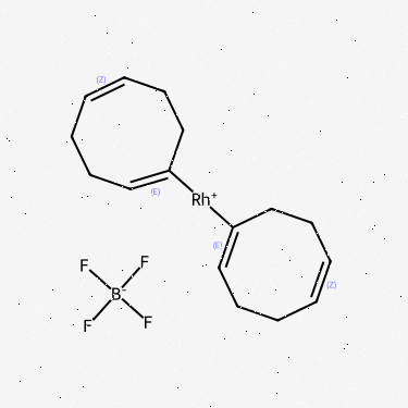 C1=C\CC/[C]([Rh+]/[C]2=C/CC/C=C\CC2)=C\CC/1.F[B-](F)(F)F